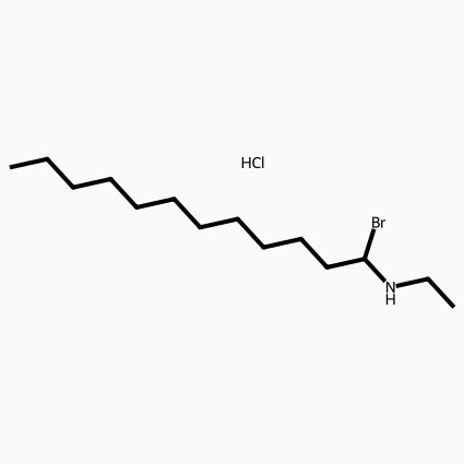 CCCCCCCCCCCC(Br)NCC.Cl